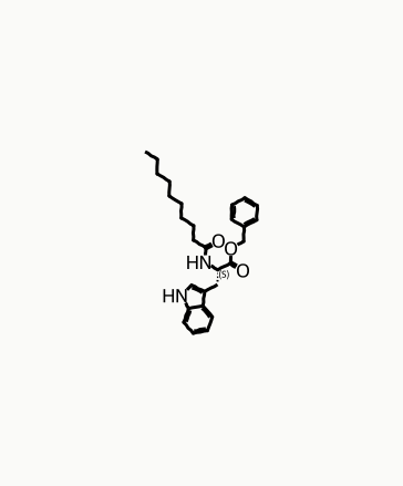 CCCCCCCCCC(=O)N[C@@H](Cc1c[nH]c2ccccc12)C(=O)OCc1ccccc1